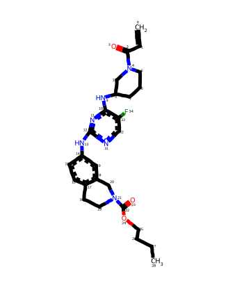 C=CC(=O)N1CCCC(Nc2nc(Nc3ccc4c(c3)CN(C(=O)OCCCC)CC4)ncc2F)C1